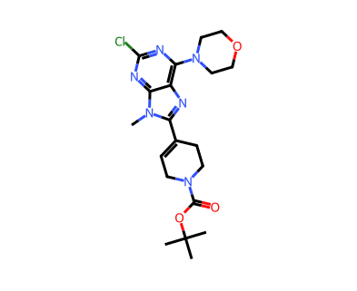 Cn1c(C2=CCN(C(=O)OC(C)(C)C)CC2)nc2c(N3CCOCC3)nc(Cl)nc21